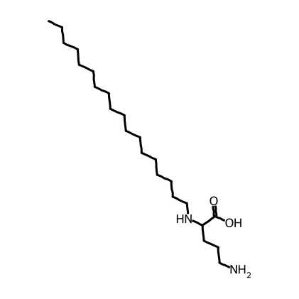 CCCCCCCCCCCCCCCCCCNC(CCCN)C(=O)O